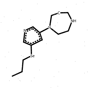 CCC[Se]c1cncc(N2CCCNCC2)c1